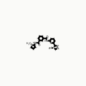 CC(C)n1cnnc1-c1cccc(NC(=O)c2cccc(C(=O)Nc3cccn3C)c2)n1